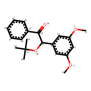 COc1cc(OC)cc(C(OC(C)(C)C)C(=O)c2ccccc2)c1